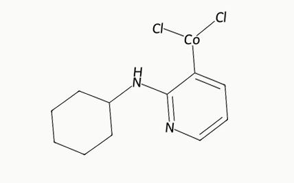 [Cl][Co]([Cl])[c]1cccnc1NC1CCCCC1